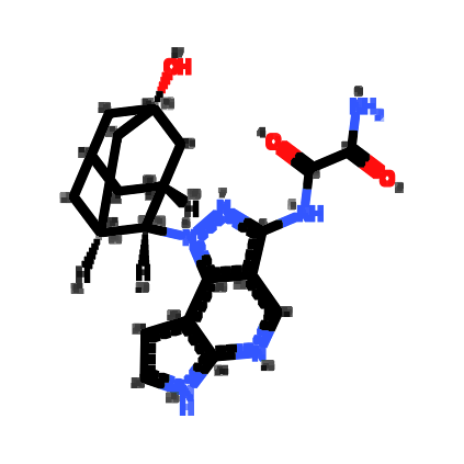 NC(=O)C(=O)Nc1nn([C@@H]2[C@@H]3CC4C[C@H]2C[C@@](O)(C4)C3)c2c1cnc1[nH]ccc12